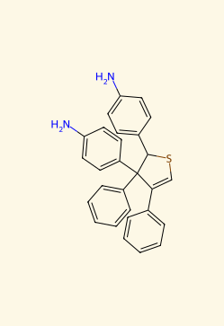 Nc1ccc(C2SC=C(c3ccccc3)C2(c2ccccc2)c2ccc(N)cc2)cc1